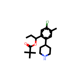 CCC(OC(=O)C(C)(C)C)c1cc(Cl)c(C)cc1C1CCNCC1